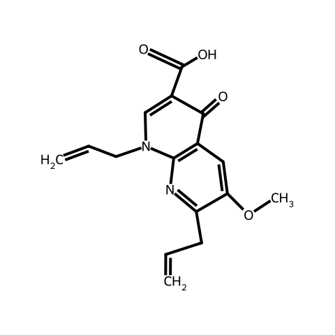 C=CCc1nc2c(cc1OC)c(=O)c(C(=O)O)cn2CC=C